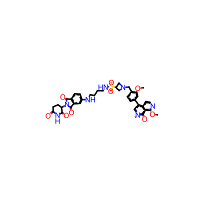 COc1cc(-c2cn(C)c(=O)c3c(OC)nccc23)ccc1CN1CC(S(=O)(=O)NCCCCNc2ccc3c(c2)C(=O)N(C2CCC(=O)NC2=O)C3=O)C1